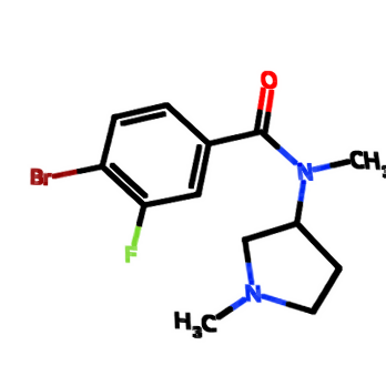 CN1CCC(N(C)C(=O)c2ccc(Br)c(F)c2)C1